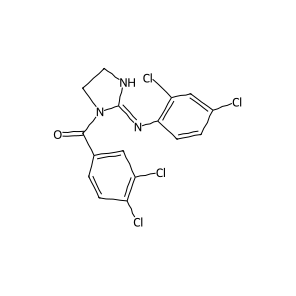 O=C(c1ccc(Cl)c(Cl)c1)N1CCN/C1=N\c1ccc(Cl)cc1Cl